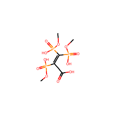 COP(=O)(O)C(C(=O)O)=C(P(=O)(O)OC)P(=O)(O)OC